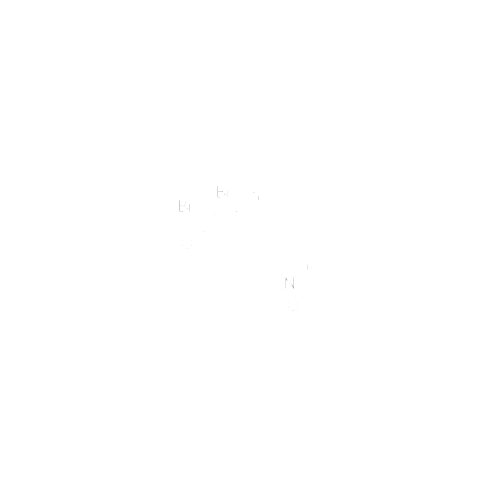 O=C1c2ccc([N+](=O)[O-])cc2C(=O)C1(Br)Br